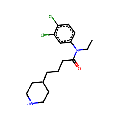 CCN(C(=O)CCCC1CCNCC1)c1ccc(Cl)c(Cl)c1